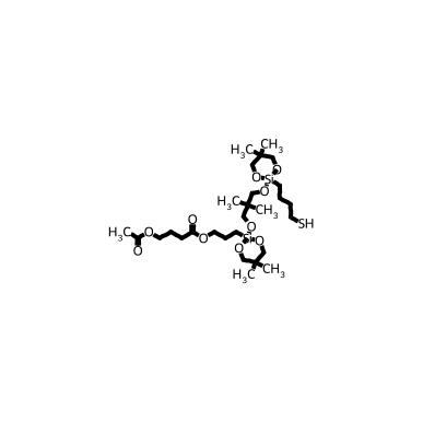 CC(=O)OCCCC(=O)OCCC[Si]1(OCC(C)(C)CO[Si]2(CCCCS)OCC(C)(C)CO2)OCC(C)(C)CO1